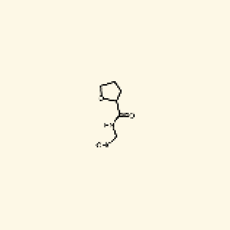 O=[C]CNC(=O)C1CCCO1